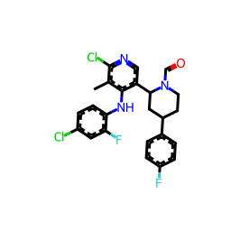 Cc1c(Cl)ncc(C2CC(c3ccc(F)cc3)CCN2C=O)c1Nc1ccc(Cl)cc1F